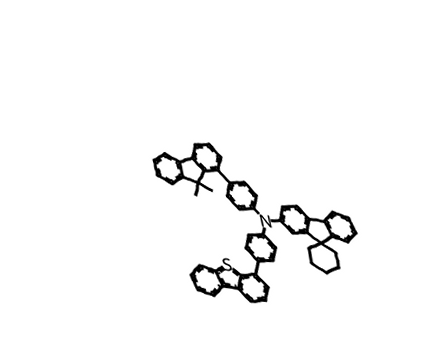 CC1(C)c2ccccc2-c2cccc(-c3ccc(N(c4ccc(-c5cccc6c5sc5ccccc56)cc4)c4ccc5c(c4)C4(CCCCC4)c4ccccc4-5)cc3)c21